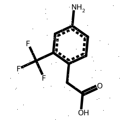 Nc1ccc(CC(=O)O)c(C(F)(F)F)c1